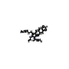 C=C/C=c1\c(=C(/C)N)nc(Sc2cc3c(cc2Br)OCO3)n1CCNC(C)=O